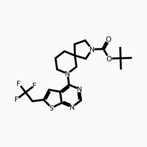 CC(C)(C)OC(=O)N1CCC2(CCCN(c3ncnc4sc(CC(F)(F)F)cc34)C2)C1